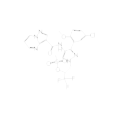 COc1ccc(Cl)cc1-c1nn(C[C@@H](OS(C)(=O)=O)C(F)(F)F)cc1NC(=O)c1cnn2cccnc12